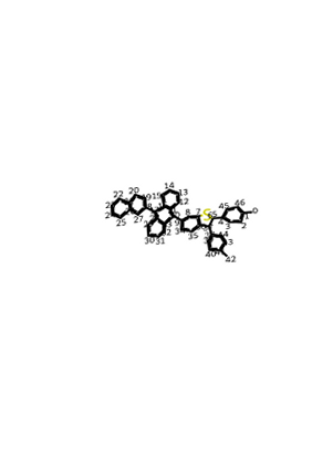 Cc1ccc(C2Sc3cc(-c4c5ccccc5c(-c5ccc6ccccc6c5)c5ccccc45)ccc3C2c2ccc(C)cc2)cc1